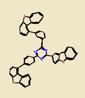 c1cc(-c2nc(-c3ccc(-c4cccc5sc6ccccc6c45)cc3)nc(-c3ccc4sc5ccccc5c4c3)n2)cc(-c2cccc3sc4ccccc4c23)c1